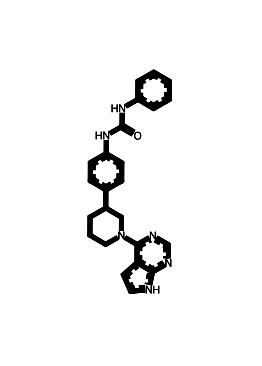 O=C(Nc1ccccc1)Nc1ccc(C2CCCN(c3ncnc4[nH]ccc34)C2)cc1